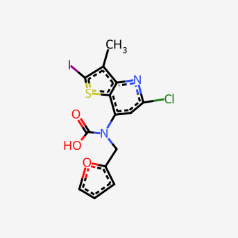 Cc1c(I)sc2c(N(Cc3ccco3)C(=O)O)cc(Cl)nc12